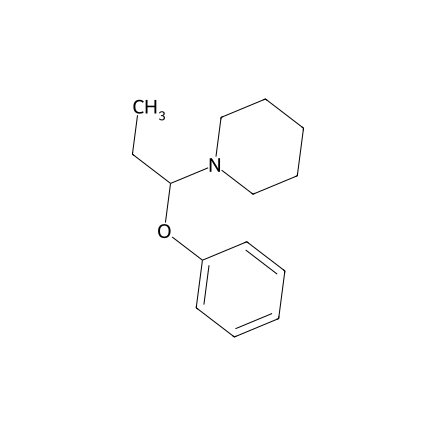 CCC(Oc1ccccc1)N1CCCCC1